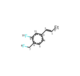 CC/C=C/c1ccc(CF)c(F)c1